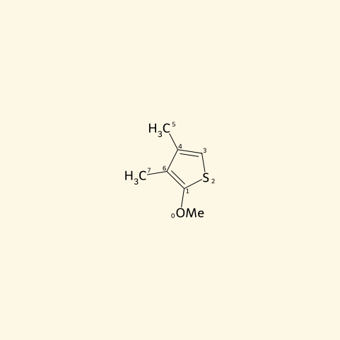 COc1scc(C)c1C